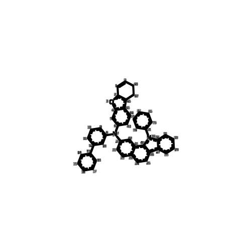 C1=Cc2oc3cc(N(c4cccc(-c5ccccc5)c4)c4ccc5ccc6c7ccccc7n(-c7ccccc7)c6c5c4)ccc3c2CC1